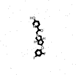 O=C(CN1C[C@H]2C[C@H](Oc3ccc(F)cc3F)C[C@H]2C1)c1ccc(O)cn1